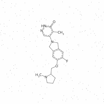 Cc1c(N2Cc3cc(F)c(OCC4CCCN4C)cc3C2)cn[nH]c1=O